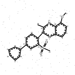 COc1cccc2nc(-c3ccc(-c4ccccc4)cc3S(C)(=O)=O)c(C)nc12